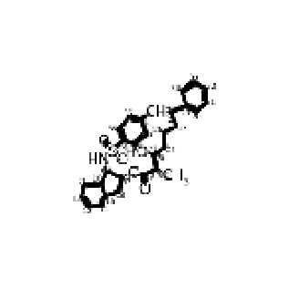 Cc1ccc(S(=O)(=O)N[C@H]2c3ccccc3C[C@H]2OC(=O)[C@@H](C)[C@@H](O)CCCCc2ccccc2)cc1